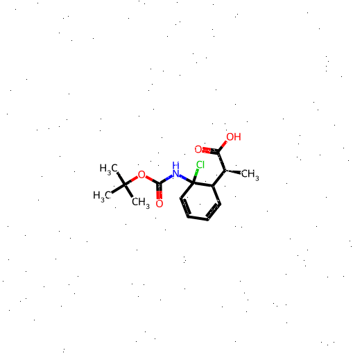 C[C@H](C(=O)O)C1C=CC=CC1(Cl)NC(=O)OC(C)(C)C